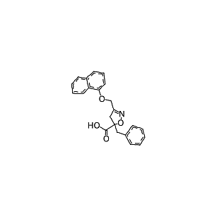 O=C(O)C1(Cc2ccccc2)CC(COc2cccc3ccccc23)=NO1